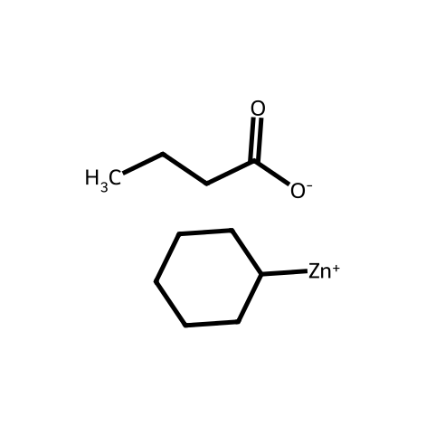 CCCC(=O)[O-].[Zn+][CH]1CCCCC1